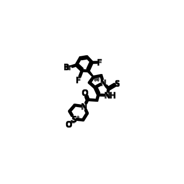 O=C(Cc1[nH]c(=S)n2c1C[C@@H](c1c(F)ccc(Br)c1F)C2)N1CC[S+]([O-])CC1